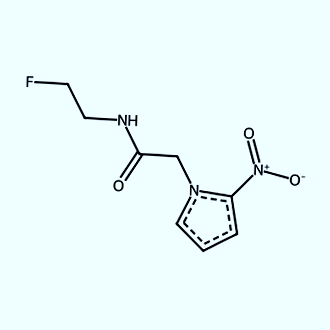 O=C(Cn1cccc1[N+](=O)[O-])NCCF